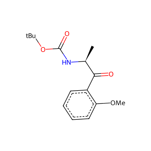 COc1ccccc1C(=O)[C@H](C)NC(=O)OC(C)(C)C